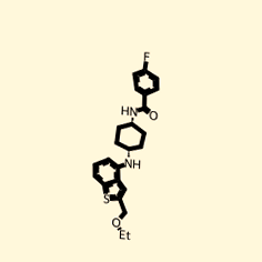 CCOCc1cc2c(N[C@H]3CC[C@@H](NC(=O)c4ccc(F)cc4)CC3)cccc2s1